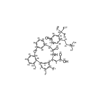 Cc1cc2cc(c1F)[C@H](CC(=O)O)NC(=O)[C@@H](n1cc(CCN(C)C)c(C(F)(F)F)cc1=O)c1cccc(c1)Oc1cccc(C)c1-2